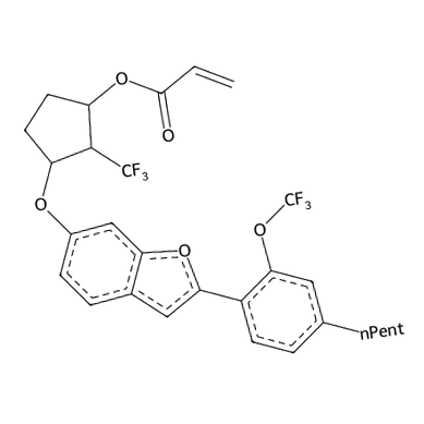 C=CC(=O)OC1CCC(Oc2ccc3cc(-c4ccc(CCCCC)cc4OC(F)(F)F)oc3c2)C1C(F)(F)F